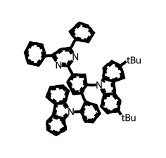 CC(C)(C)c1ccc2c(c1)c1cc(C(C)(C)C)ccc1n2-c1cc(-c2nc(-c3ccccc3)cc(-c3ccccc3)n2)ccc1-c1ccccc1-n1c2ccccc2c2ccccc21